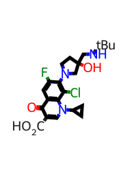 CC(C)(C)NCC1(O)CCN(c2c(F)cc3c(=O)c(C(=O)O)cn(C4CC4)c3c2Cl)C1